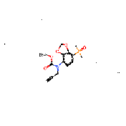 C#CCN(C(=O)OC(C)(C)C)c1ccc(P(C)(C)=O)c2c1OCO2